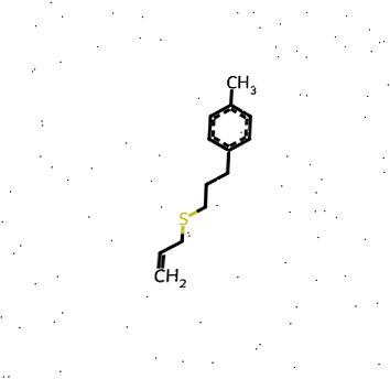 C=CCSCCCc1ccc(C)cc1